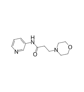 O=C(CCN1CCOCC1)Nc1cccnc1